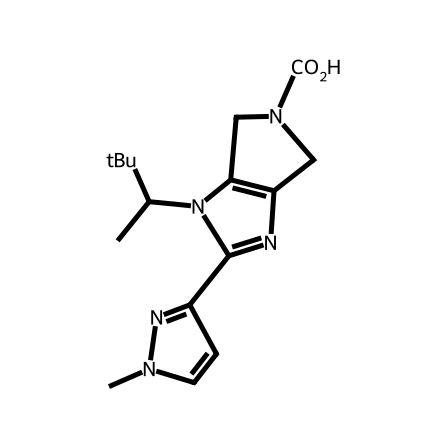 CC(n1c(-c2ccn(C)n2)nc2c1CN(C(=O)O)C2)C(C)(C)C